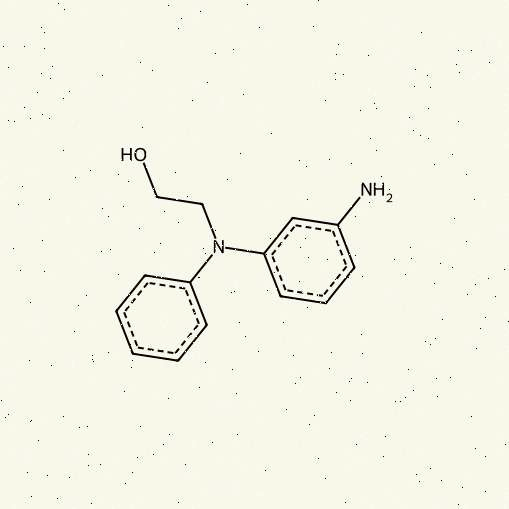 Nc1cccc(N(CCO)c2ccccc2)c1